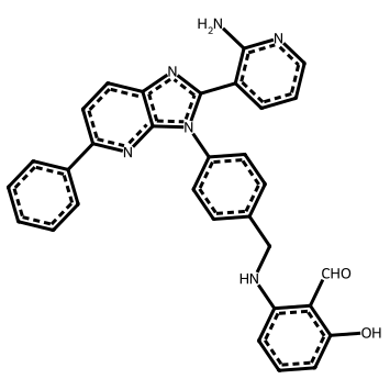 Nc1ncccc1-c1nc2ccc(-c3ccccc3)nc2n1-c1ccc(CNc2cccc(O)c2C=O)cc1